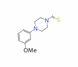 COc1cccc(N2CCN([C]=S)CC2)c1